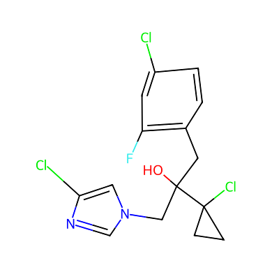 OC(Cc1ccc(Cl)cc1F)(Cn1cnc(Cl)c1)C1(Cl)CC1